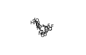 COc1ncc(-c2ccc3nc(NC(=O)C(C)C)cn3n2)cc1C(=O)NCc1ccc(F)c(F)c1OCC1CC1